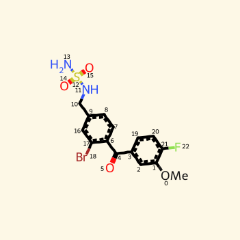 COc1cc(C(=O)c2ccc(CNS(N)(=O)=O)cc2Br)ccc1F